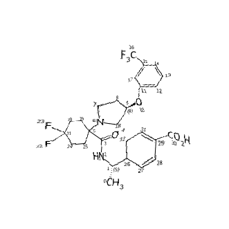 C[C@H](NC(=O)C1(N2CC[C@@H](Oc3cccc(C(F)(F)F)c3)C2)CCC(F)(F)CC1)C1C=CC(C(=O)O)=CC1